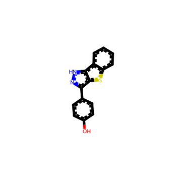 Oc1ccc(-c2n[nH]c3c2sc2ccccc23)cc1